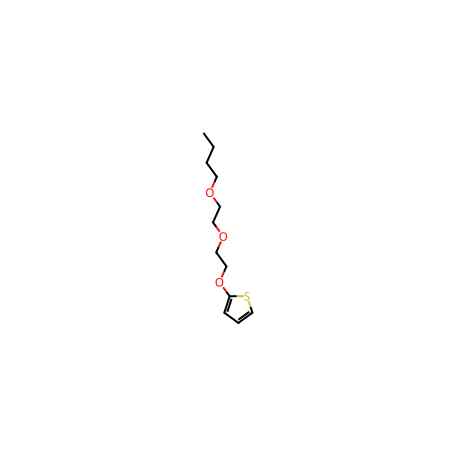 CCCCOCCOCCOc1cccs1